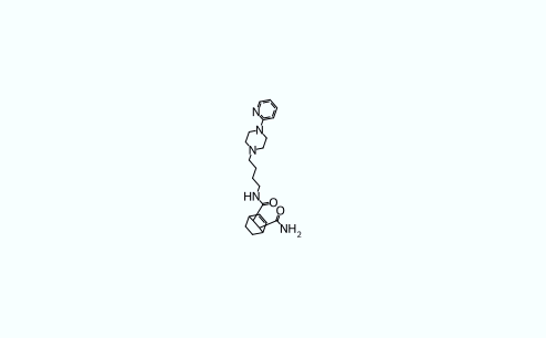 NC(=O)C1C2C=CC(CC2)C1C(=O)NCCCCN1CCN(c2ccccn2)CC1